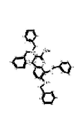 COC(=O)[C@H]([C@H](O)c1ccc(OCc2ccccc2)c(OCc2ccccc2)c1)N(Cc1ccccc1)Cc1ccccc1